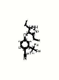 CCc1n[nH]c(CC)c1Oc1ccc(C#N)c(C(F)(F)F)c1